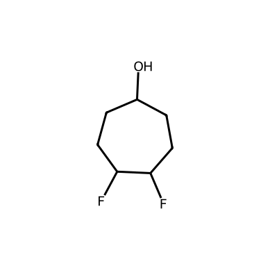 OC1CCC(F)C(F)CC1